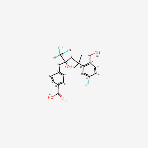 CC(C)(CC(O)(Cc1ccc(C(=O)O)cc1)C(F)(F)F)c1cc(F)ccc1CO